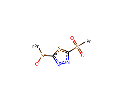 CCC[S+]([O-])c1nnc(S(=O)(=O)C(C)C)s1